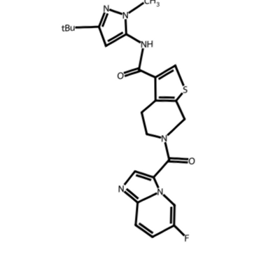 Cn1nc(C(C)(C)C)cc1NC(=O)c1csc2c1CCN(C(=O)c1cnc3ccc(F)cn13)C2